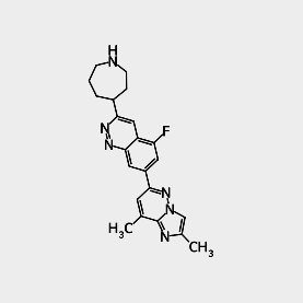 Cc1cn2nc(-c3cc(F)c4cc(C5CCCNCC5)nnc4c3)cc(C)c2n1